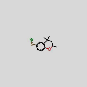 CC1CC(C)(C)c2cc(SBr)ccc2O1